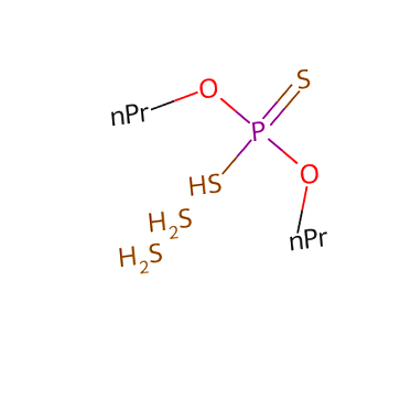 CCCOP(=S)(S)OCCC.S.S